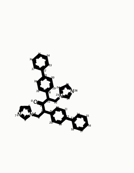 O=C(C(Cn1ccnc1)c1ccc(-c2ccccc2)cc1)C(Cn1ccnc1)c1ccc(-c2ccccc2)cc1